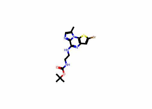 Cc1cnc2c(NCCNC(=O)OC(C)(C)C)nc3cc(Br)sc3n12